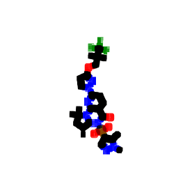 Cc1c(S(=O)(=O)NC(=O)c2ccc(-n3ccc(OCC(C)(C)C(F)(F)F)n3)nc2N2C[C@@H](C)CC2(C)C)cnn1C